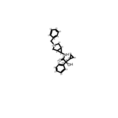 O=C(NC1C2CN(Cc3ccccc3)CC21)C(O)(c1ccccc1)C1CC1